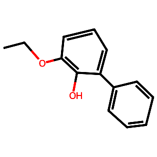 CCOc1cccc(-c2ccccc2)c1O